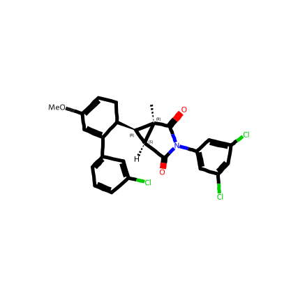 COC1=CCC([C@@H]2[C@@H]3C(=O)N(c4cc(Cl)cc(Cl)c4)C(=O)[C@]23C)C(c2cccc(Cl)c2)=C1